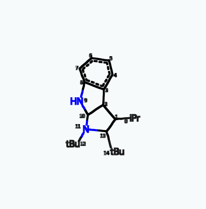 CC(C)C1C2c3ccccc3NC2N(C(C)(C)C)C1C(C)(C)C